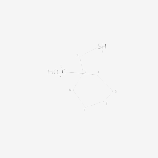 O=C(O)C1(CS)CCCCC1